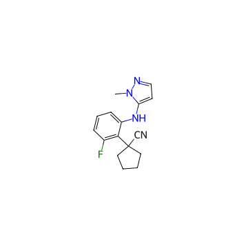 Cn1nccc1Nc1cccc(F)c1C1(C#N)CCCC1